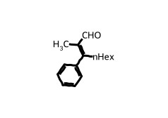 CCCCCCC(=C(C)C=O)c1ccccc1